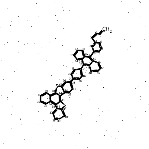 C=C/C=C\c1cccc(-c2c3ccccc3c(-c3ccc(-c4ccc5c(c4)sc4c6ccccc6c6c7ccccc7sc6c54)cc3)c3ccccc23)c1